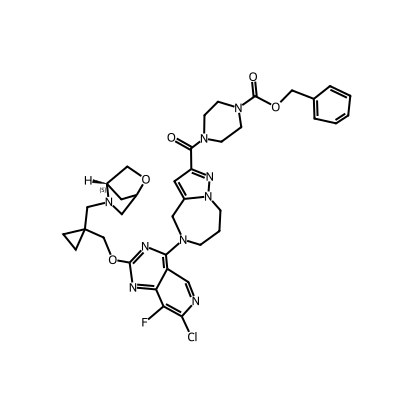 O=C(OCc1ccccc1)N1CCN(C(=O)c2cc3n(n2)CCCN(c2nc(OCC4(CN5CC6C[C@H]5CO6)CC4)nc4c(F)c(Cl)ncc24)C3)CC1